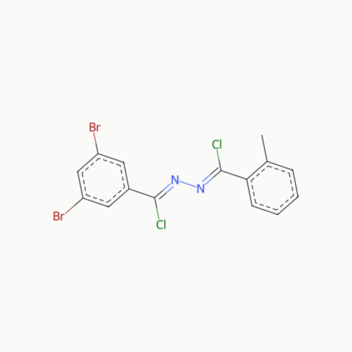 Cc1ccccc1C(Cl)=NN=C(Cl)c1cc(Br)cc(Br)c1